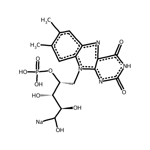 Cc1cc2nc3c(=O)[nH]c(=O)nc-3n(C[C@@H](OP(=O)(O)O)[C@@H](O)[C@@H](O)[CH](O)[Na])c2cc1C